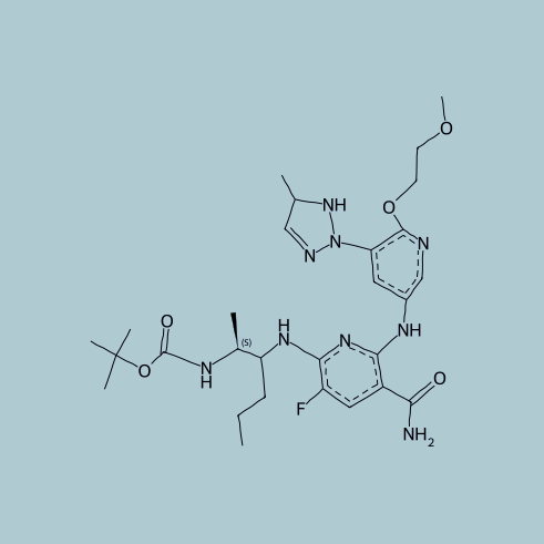 CCCC(Nc1nc(Nc2cnc(OCCOC)c(N3N=CC(C)N3)c2)c(C(N)=O)cc1F)[C@H](C)NC(=O)OC(C)(C)C